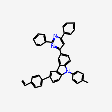 C=Cc1ccc(-c2ccc3c(c2)c2cc(-c4cc(-c5ccccc5)nc(-c5ccccc5)n4)ccc2n3-c2ccc(C)cc2)cc1